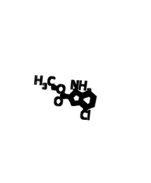 CCOC(=O)C1Cc2c(Cl)cccc2C1N